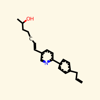 C=CCc1ccc(-c2ccc(/C=C/CCCC(C)O)cn2)cc1